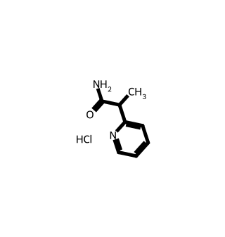 CC(C(N)=O)c1ccccn1.Cl